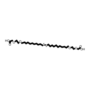 O=C(O)COCCOCCCCCCCCCCCSSCCCCCCCCCCCOCCOCC(=O)O